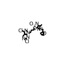 Cc1c([N+](=O)[O-])c(OCCCn2nc(Cl)c3cnc(Cl)nc32)nn1CC12CC(CO1)C2